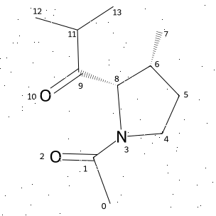 CC(=O)N1CC[C@@H](C)[C@H]1C(=O)C(C)C